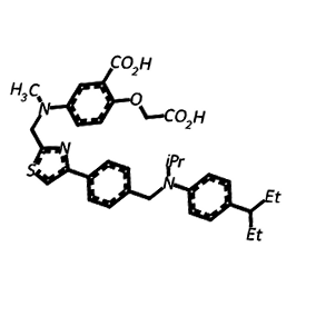 CCC(CC)c1ccc(N(Cc2ccc(-c3csc(CN(C)c4ccc(OCC(=O)O)c(C(=O)O)c4)n3)cc2)C(C)C)cc1